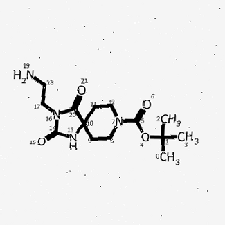 CC(C)(C)OC(=O)N1CCC2(CC1)NC(=O)N(CCN)C2=O